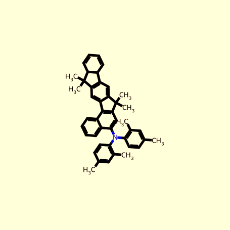 Cc1ccc(N(c2ccc(C)cc2C)c2cc3c(c4ccccc24)-c2cc4c(cc2C3(C)C)C2C=CC=CC2C4(C)C)c(C)c1